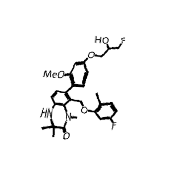 COc1cc(OCC(O)CF)ccc1-c1ccc2c(c1COc1cc(F)ccc1C)N(C)C(=O)C(C)(C)N2